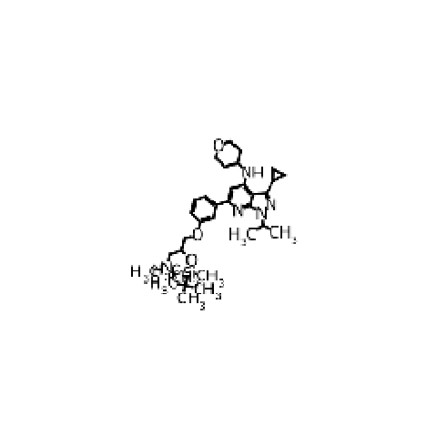 CC(C)n1nc(C2CC2)c2c(NC3CCOCC3)cc(-c3cccc(OCC(CN(C)C)O[Si](C)(C)C(C)(C)C)c3)nc21